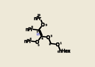 CCCCCCOCO/C(OCCC)=C(/CCC)OCCC